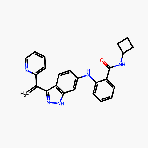 C=C(c1ccccn1)c1n[nH]c2cc(Nc3ccccc3C(=O)NC3CCC3)ccc12